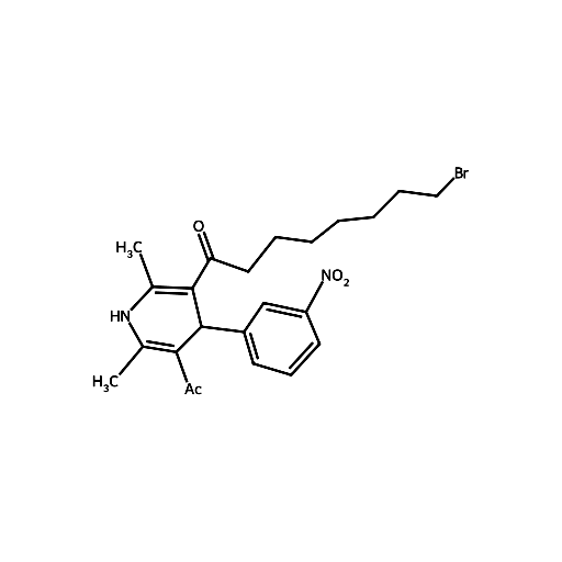 CC(=O)C1=C(C)NC(C)=C(C(=O)CCCCCCCBr)C1c1cccc([N+](=O)[O-])c1